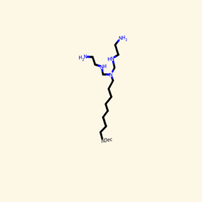 CCCCCCCCCCCCCCCCCCN(CNCCN)CNCCN